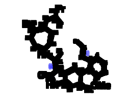 C/C=C/c1cccc(OC)c1C1C=C2C(=CC1CC)NC(=O)/C2=C(/C)NC1=CCC(CC)=C(CC(C)C(C)C)C=C1